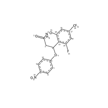 NC(=O)CC(Oc1ccc([N+](=O)[O-])cc1)c1c(F)cc(C(F)(F)F)cc1Cl